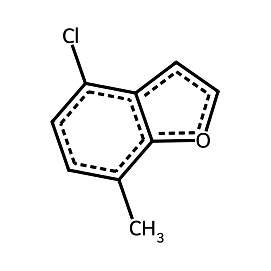 Cc1ccc(Cl)c2ccoc12